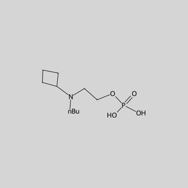 CCCCN(CCOP(=O)(O)O)C1CCC1